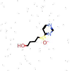 [O-][S+](CCCCO)c1ccncn1